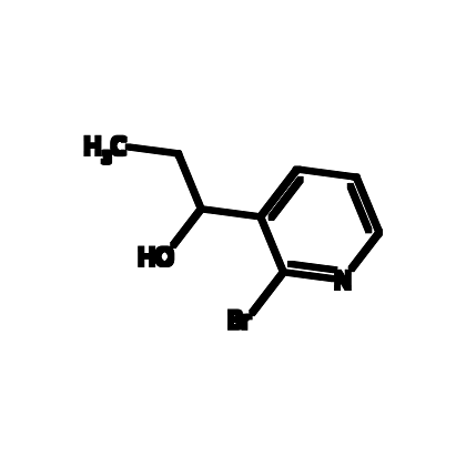 CCC(O)c1cccnc1Br